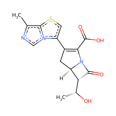 Cc1ncn2c(C3=C(C(=O)O)N4C(=O)[C@H]([C@@H](C)O)[C@H]4C3)csc12